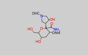 COC1CC(O)C(CO)OC1(C(N)=O)[C@H]1CN(C=O)C[C@H]1O